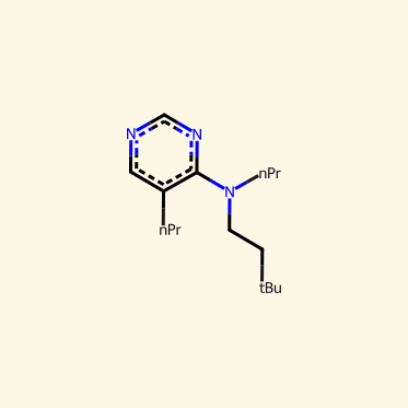 CCCc1cncnc1N(CCC)CCC(C)(C)C